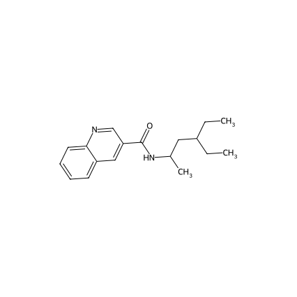 CCC(CC)CC(C)NC(=O)c1cnc2ccccc2c1